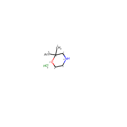 CC(=O)OC1(C)CNCCO1.Cl